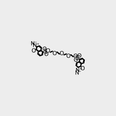 [N-]=[N+]=C1C=Cc2c(cccc2S(=O)(=O)OCCOCCOCCOCCOS(=O)(=O)c2cccc3c2C=CC(=[N+]=[N-])C3=O)C1=O